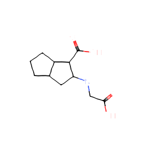 O=C(O)CNC1CC2CCCC2C1C(=O)O